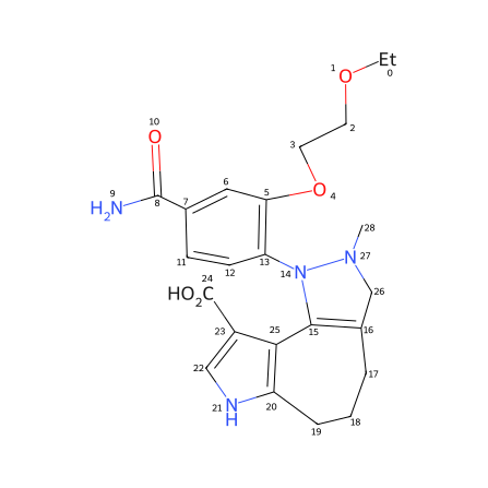 CCOCCOc1cc(C(N)=O)ccc1N1C2=C(CCCc3[nH]cc(C(=O)O)c32)CN1C